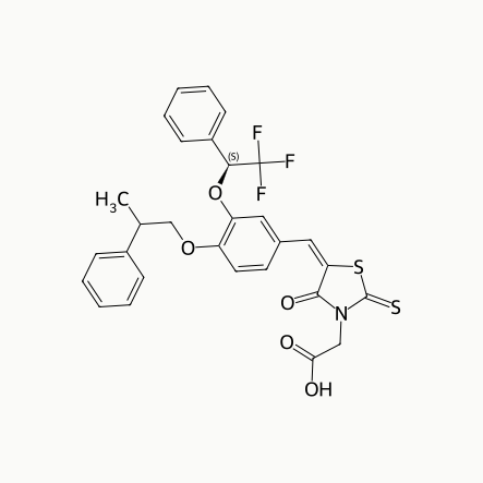 CC(COc1ccc(C=C2SC(=S)N(CC(=O)O)C2=O)cc1O[C@@H](c1ccccc1)C(F)(F)F)c1ccccc1